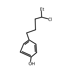 CCC(Cl)CCCc1ccc(O)cc1